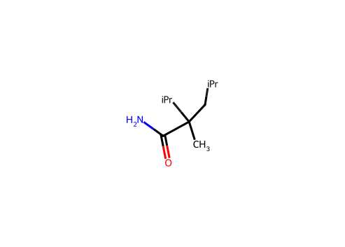 CC(C)CC(C)(C(N)=O)C(C)C